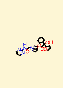 O=C(C[N+]12CCC(CC1)C(OC(=O)[C@](O)(c1ccco1)C1CCCCC1)C2)Nc1ncccn1